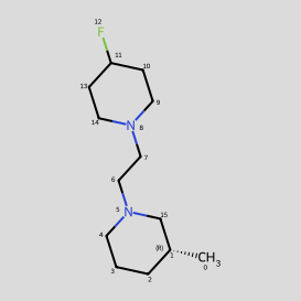 C[C@@H]1CCCN(CCN2CCC(F)CC2)C1